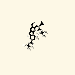 C[C@@H]1CN(C(=O)OC(C)(C)C)C[C@H]2Cc3cc(C=O)c(CN(C(=O)OC(C)(C)C)C4CC4)nc3N21